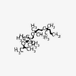 C=CCC(C)(C)OCCC(C)(C)OCS(C)(C)C(C)(C)OC(C)C